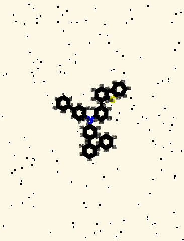 c1ccc(-c2ccc(N(c3ccc(-c4ccccc4-c4ccccc4)cc3)c3cccc(-c4cccc5c4sc4ccccc45)c3)cc2)cc1